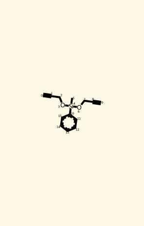 C#CCO[Si](C)(OCC#C)c1ccccc1